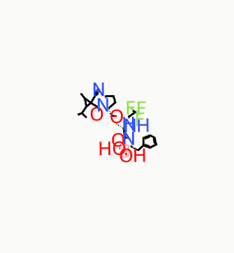 CC(C)C1C(C)C1(C#N)C(=O)N1CCC[C@@H]1COC[C@H](NCC(F)(F)F)C(=O)N[C@@H](Cc1ccccc1)B(O)O